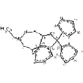 CCN1CCCC(SC(c2ccccc2)(c2ccccc2)c2ccccc2)CC1